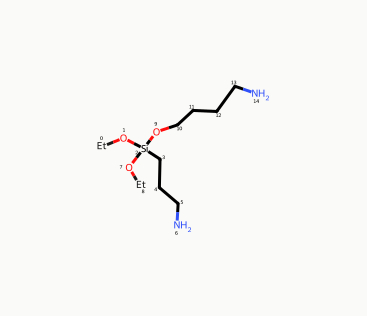 CCO[Si](CCCN)(OCC)OCCCCN